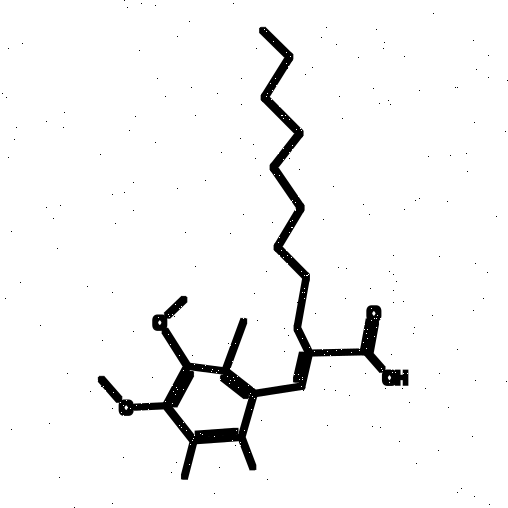 CCCCCCCCC/C(=C\c1c(C)c(C)c(OC)c(OC)c1C)C(=O)O